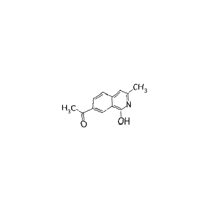 CC(=O)c1ccc2cc(C)nc(O)c2c1